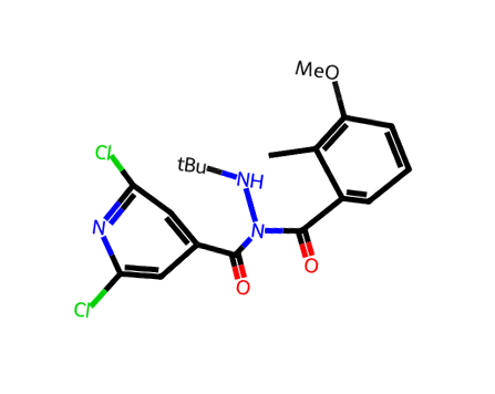 COc1cccc(C(=O)N(NC(C)(C)C)C(=O)c2cc(Cl)nc(Cl)c2)c1C